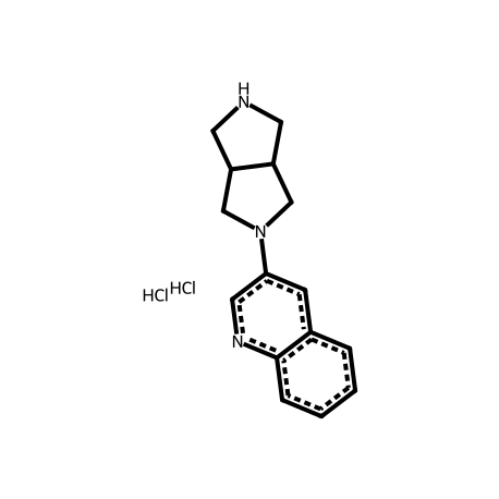 Cl.Cl.c1ccc2ncc(N3CC4CNCC4C3)cc2c1